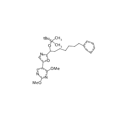 COc1ncc(-c2cnc(C(CCCCCCc3ccccc3)O[Si](C)(C)C(C)(C)C)o2)c(OC)n1